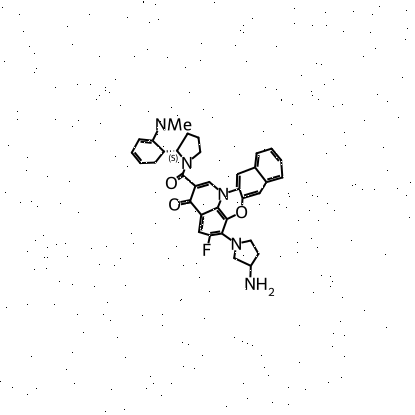 CNC1=CC=CCC1[C@@H]1CCCN1C(=O)c1cn2c3c(c(N4CCC(N)C4)c(F)cc3c1=O)Oc1cc3ccccc3cc1-2